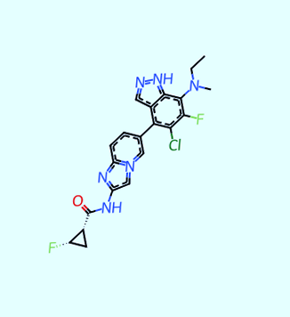 CCN(C)c1c(F)c(Cl)c(-c2ccc3nc(NC(=O)[C@@H]4C[C@@H]4F)cn3c2)c2cn[nH]c12